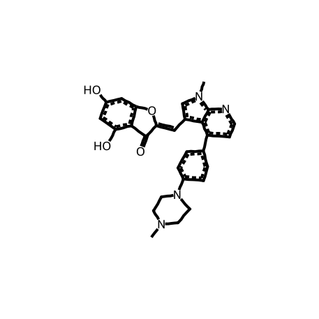 CN1CCN(c2ccc(-c3ccnc4c3c(C=C3Oc5cc(O)cc(O)c5C3=O)cn4C)cc2)CC1